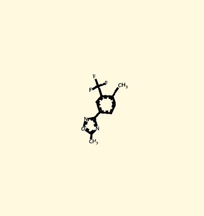 Cc1nc(-c2ccc(C)c(C(F)(F)F)c2)no1